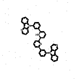 C1=CC(c2cccc(-c3cccc(-n4c5ccccc5c5cnccc54)c3)n2)NC(c2cccc(-n3c4ccccc4c4ncccc43)c2)=C1